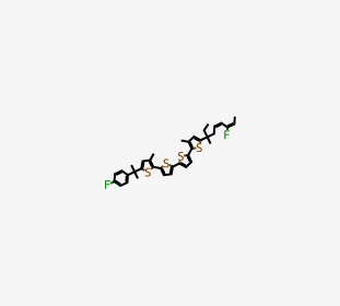 C/C=C(F)\C=C/CC(C)(CC)c1cc(C)c(-c2ccc(-c3ccc(-c4sc(C(C)(C)c5ccc(F)cc5)cc4C)s3)s2)s1